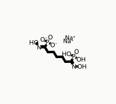 O=P([O-])([O-])C(CCCCCC(=NO)P(=O)(O)O)=NO.[Na+].[Na+]